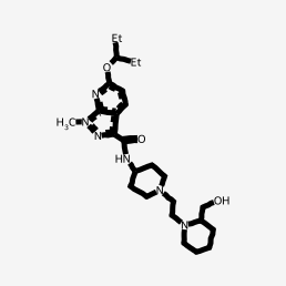 CCC(CC)Oc1ccc2c(C(=O)NC3CCN(CCN4CCCCC4CO)CC3)nn(C)c2n1